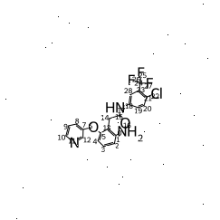 Nc1cccc(Oc2cccnc2)c1CC(=O)Nc1ccc(Cl)c(C(F)(F)F)c1